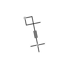 CC1(C#C[Si](C)(C)C)COC1